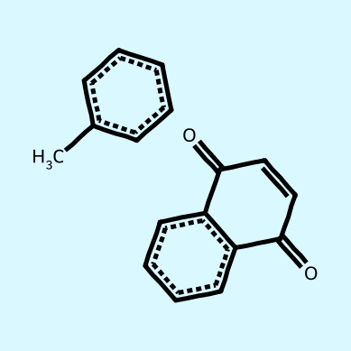 Cc1ccccc1.O=C1C=CC(=O)c2ccccc21